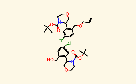 C=CCOCc1ccc(Cl)cc1C1COCCN1C(=O)OC(C)(C)C.CC(C)(C)OC(=O)N1CCOCC1c1cc(Cl)ccc1CO